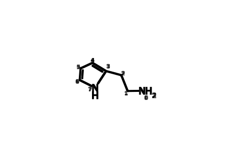 NCCc1ccc[nH]1